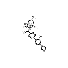 C=C(c1ncc(-c2ccc(-n3ccnc3)cc2O)nn1)[C@H]1C[C@]2(C)CC(C)C[C@@H](N2)[C@@H]1F